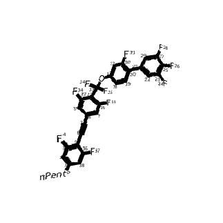 CCCCCc1cc(F)c(C#Cc2cc(F)c(C(F)(F)Oc3ccc(-c4cc(F)c(F)c(F)c4)c(F)c3)c(F)c2)c(F)c1